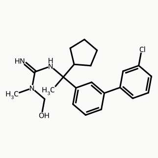 CN(CO)C(=N)NC(C)(c1cccc(-c2cccc(Cl)c2)c1)C1CCCC1